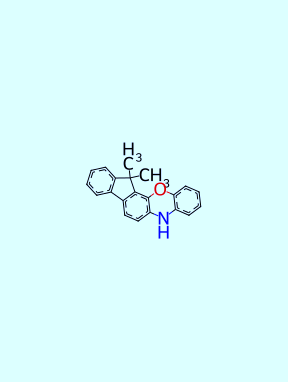 CC1(C)c2ccccc2-c2ccc3c(c21)Oc1ccccc1N3